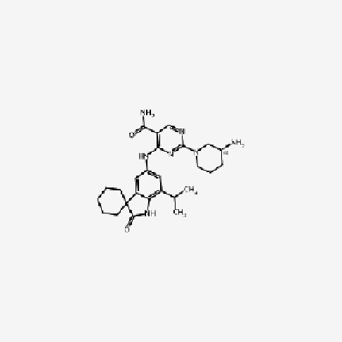 CC(C)c1cc(Nc2nc(N3CCC[C@H](N)C3)ncc2C(N)=O)cc2c1NC(=O)C21CCCCC1